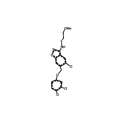 COCCSNc1noc2cc(COc3ccc(Cl)c(Cl)c3)c(Cl)cc12